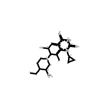 CCC1CCN(C2C(C)=c3c(c(=O)[nH]c(=O)n3C3CC3)=CC2F)CC1N